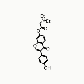 CCN(CC)CC(=O)Oc1ccc2c(=O)c(-c3ccc(O)cc3)coc2c1